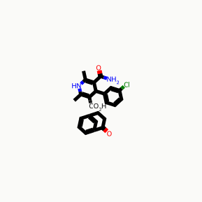 CC1=C(C(N)=O)C(c2cccc(Cl)c2)C(C(=O)O)=C(C)N1.O=C1CCc2cccc1c2